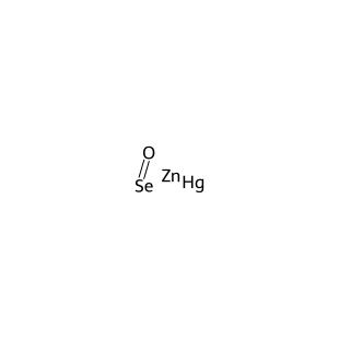 O=[Se].[Hg].[Zn]